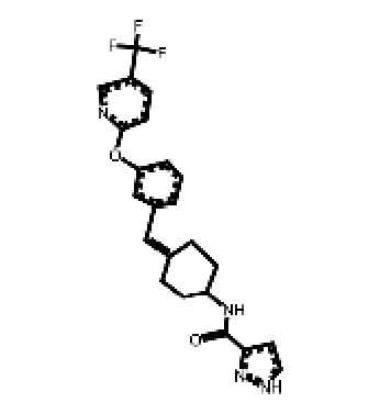 O=C(NC1CCC(=Cc2cccc(Oc3ccc(C(F)(F)F)cn3)c2)CC1)c1cc[nH]n1